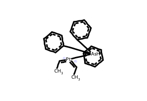 C/[CH]=[Pt](=[CH]\C)/[AsH](c1ccccc1)(c1ccccc1)c1ccccc1